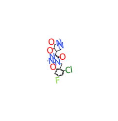 CN1N=CC(c2nn(C)c(=O)n(Cc3ccc(F)cc3Cl)c2=O)C(=O)C1=O